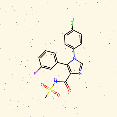 CS(=O)(=O)NC(=O)c1ncn(-c2ccc(Cl)cc2)c1-c1cccc(I)c1